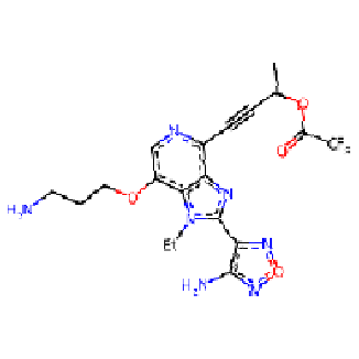 CCn1c(-c2nonc2N)nc2c(C#CC(C)OC(=O)C(F)(F)F)ncc(OCCCN)c21